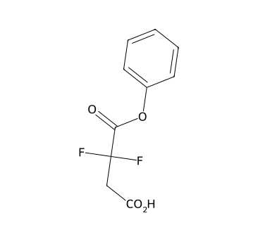 O=C(O)CC(F)(F)C(=O)Oc1ccccc1